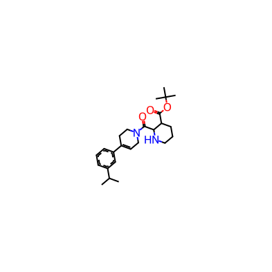 CC(C)c1cccc(C2=CCN(C(=O)C3NCCCC3C(=O)OC(C)(C)C)CC2)c1